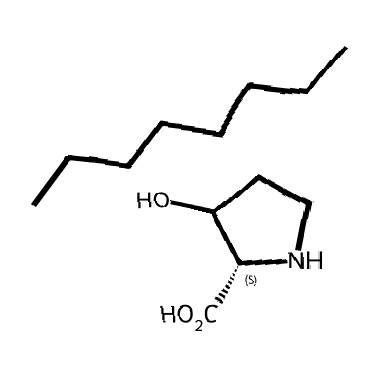 CCCCCCCC.O=C(O)[C@H]1NCCC1O